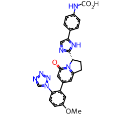 COc1ccc(-n2cnnn2)c(-c2cc3n(c(=O)c2)[C@H](c2ncc(-c4ccc(NC(=O)O)cc4)[nH]2)CC3)c1